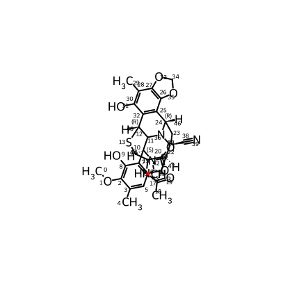 COc1c(C)cc2c(c1O)[C@H]1C3[C@@H]4SCC(NC(C)=O)C(=O)OC[C@@H](c5c6c(c(C)c(O)c54)OCO6)N3[C@@H](C#N)[C@@H](C2)N1C